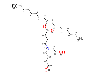 CCCCCCCCC(CCCCCCCC)OC(=O)CCCN(CCO)CCCC=O